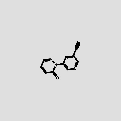 C#Cc1cncc(-n2ncccc2=O)c1